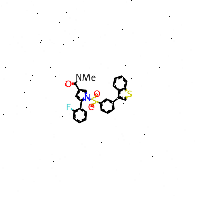 CNC(=O)c1cc(-c2ccccc2F)n(S(=O)(=O)c2cccc(-c3csc4ccccc34)c2)c1